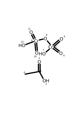 CC(=O)O.[O]=[Cr](=[O])([OH])[O][Cr](=[O])(=[O])[OH]